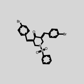 O=C1C(=Cc2ccc(Br)cc2)CN(S(=O)(=O)c2ccccc2)CC1=Cc1ccc(Br)cc1